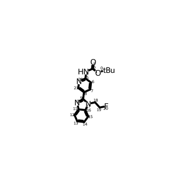 CC(C)(C)OC(=O)Nc1ccc(-c2nc3ccccc3n2CCF)cn1